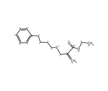 C=C(CSCCCCc1ccccc1)C(=O)OCC